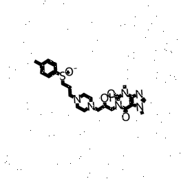 Cc1ccc([S+]([O-])CCCN2CCN(CC(O)Cn3c(=O)c4c(ncn4C)n(C)c3=O)CC2)cc1